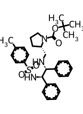 Cc1ccc(S(=O)(=O)N[C@H](c2ccccc2)[C@H](NC[C@@H]2CCCN2C(=O)OC(C)(C)C)c2ccccc2)cc1